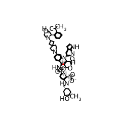 CC(C)c1ccccc1[C@@H]1COCCN1C1CC2(CCN(c3ccc(C(=O)NS(=O)(=O)c4ccc(NC[C@H]5CC[C@](C)(O)CC5)c([N+](=O)[O-])n4)c(N4c5cc6cc[nH]c6nc5O[C@H]5COCC[C@@H]54)c3)CC2)C1